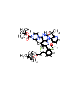 COc1ccnc(C(C)C)c1-n1c(=O)nc(N2CCN(C(=O)OC(C)(C)C)C[C@@H]2C)c2cc(F)c(-c3c(F)cccc3CCCO[Si](C)(C)C(C)(C)C)nc21